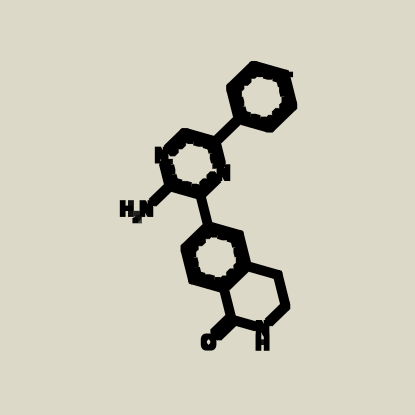 Nc1ncc(-c2cc[c]cc2)nc1-c1ccc2c(c1)CCNC2=O